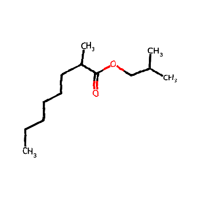 CCCCCCC(C)C(=O)OCC(C)C